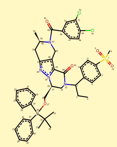 CCC(c1ccc(S(C)(=O)=O)cc1)N1C[C@@H](CO[Si](c2ccccc2)(c2ccccc2)C(C)(C)C)n2nc3c(c2C1=O)CN(C(=O)c1ccc(Cl)c(Cl)c1)[C@H](C)C3